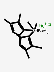 CC1=CC(C)[C]([Zr]([CH3])([CH3])(=[GeH2])[C]2=C(C)C(C)=CC2C)=C1C.Cl.Cl